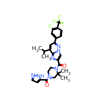 CC(C)c1cc(-c2ccc(C(F)(F)F)c(F)c2)nn2cc(C(=O)N3CCN(C(=O)c4ccn[nH]4)CC3(C)C)nc12